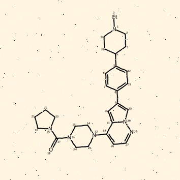 CCN1CCC(c2ccc(-c3cc4c(N5CCN(C(=O)N6CCCC6)CC5)ccnn4c3)cc2)CC1